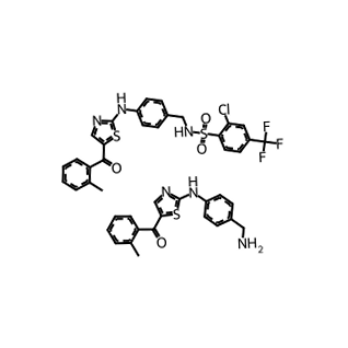 Cc1ccccc1C(=O)c1cnc(Nc2ccc(CN)cc2)s1.Cc1ccccc1C(=O)c1cnc(Nc2ccc(CNS(=O)(=O)c3ccc(C(F)(F)F)cc3Cl)cc2)s1